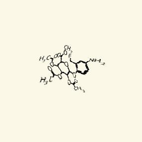 COC(=O)C1OC(Oc2ccc(N)cc2CF)C(OC(C)=O)C(OC(C)=O)C1OC(C)=O